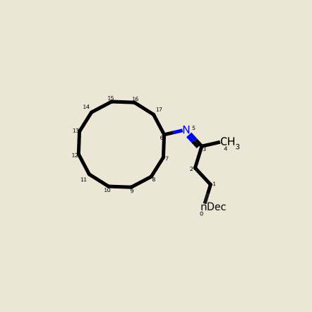 CCCCCCCCCCCCC(C)=NC1CCCCCCCCCCC1